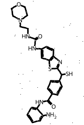 Nc1ccccc1NC(=O)c1ccc(C(S)c2nc3ccc(NC(=O)NCCN4CCOCC4)cc3s2)cc1